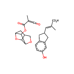 CC(=C=O)C(=O)OC1C2CC3COC1C3O2.CC(=CC1Cc2ccc(O)cc2C1)C(=O)O